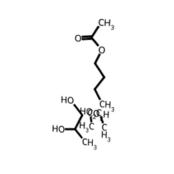 CC(=O)O.CC(=O)O.CC(O)CO.CCCCOC(C)=O